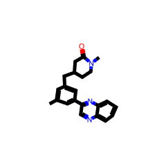 Cc1cc(CC2CCN(C)C(=O)C2)cc(-c2cnc3ccccc3n2)c1